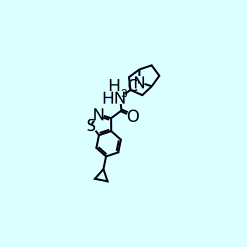 CN1C2CCC1CC(NC(=O)c1nsc3cc(C4CC4)ccc13)C2